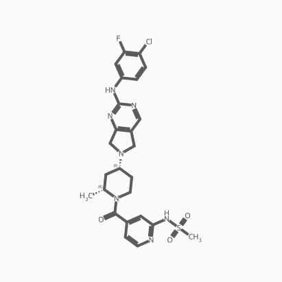 C[C@@H]1C[C@H](N2Cc3cnc(Nc4ccc(Cl)c(F)c4)nc3C2)CCN1C(=O)c1ccnc(NS(C)(=O)=O)c1